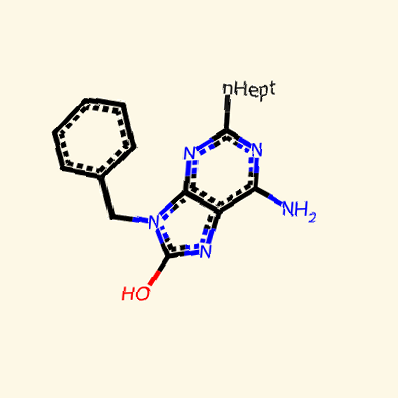 CCCCCCCc1nc(N)c2nc(O)n(Cc3ccccc3)c2n1